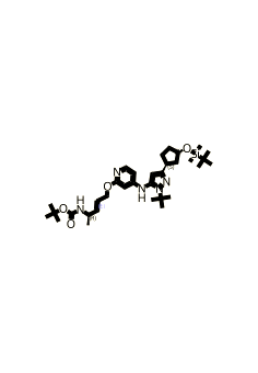 C[C@H](/C=C/COc1cc(Nc2cc([C@H]3CC[C@@H](O[Si](C)(C)C(C)(C)C)C3)nn2C(C)(C)C)ccn1)NC(=O)OC(C)(C)C